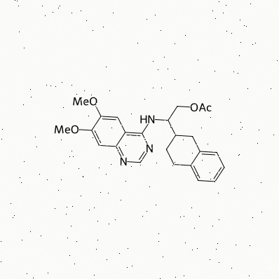 COc1cc2ncnc(NC(COC(C)=O)C3CCc4ccccc4C3)c2cc1OC